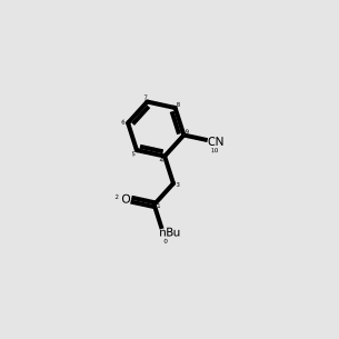 CCCCC(=O)Cc1ccccc1C#N